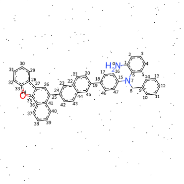 Nc1ccccc1N(Cc1ccccc1)c1ccc(-c2ccc3cc(-c4cc5c6ccccc6oc5c5ccccc45)ccc3c2)cc1